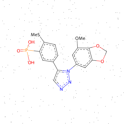 COc1cc(-n2nncc2-c2ccc(SC)c(P(=O)(O)O)c2)cc2c1OCO2